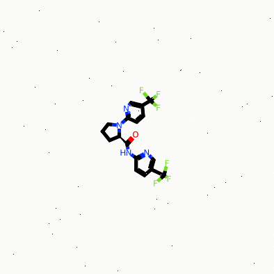 O=C(Nc1ccc(C(F)(F)F)cn1)[C@H]1CCCN1c1ccc(C(F)(F)F)cn1